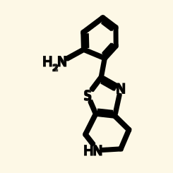 Nc1ccccc1-c1nc2c(s1)CNCC2